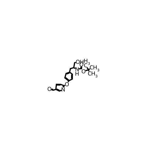 CC(C)(C)OC(=O)NC(CO)Cc1ccc(Oc2ccc(C=O)cn2)cc1